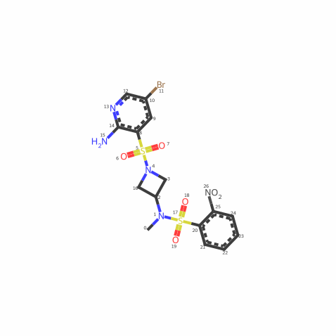 CN(C1CN(S(=O)(=O)c2cc(Br)cnc2N)C1)S(=O)(=O)c1ccccc1[N+](=O)[O-]